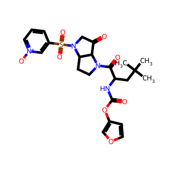 CC(C)(C)CC(NC(=O)Oc1ccoc1)C(=O)N1CCC2C1C(=O)CN2S(=O)(=O)c1ccc[n+]([O-])c1